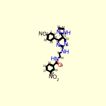 N#Cc1ccc(-c2nc(NCCNC(=O)c3cccc([N+](=O)[O-])c3)ncc2-c2ncc[nH]2)cc1